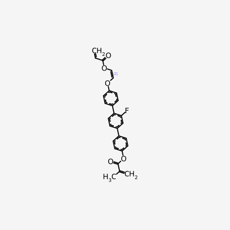 C=CC(=O)O/C=C\Oc1ccc(-c2ccc(-c3ccc(OC(=O)C(=C)C)cc3)cc2F)cc1